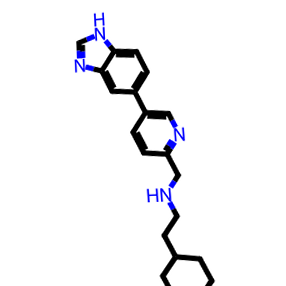 c1nc2cc(-c3ccc(CNCCC4CCCCC4)nc3)ccc2[nH]1